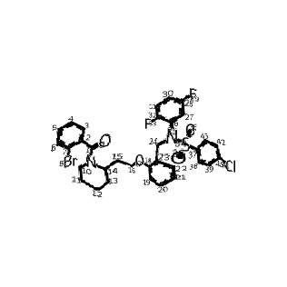 O=C(c1ccccc1Br)N1CCCCC1CCOc1ccccc1CN(c1cc(F)ccc1F)S(=O)(=O)c1ccc(Cl)cc1